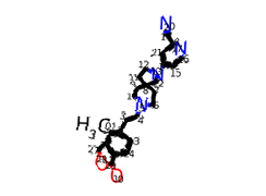 Cc1c(CCN2CCC3(CC2)CCN(c2ccnc(C#N)c2)C3)ccc2c1COC2=O